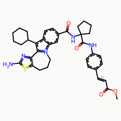 COC(=O)/C=C/c1ccc(NC(=O)C2(NC(=O)c3ccc4c(C5CCCCC5)c5n(c4c3)CCCc3sc(N)nc3-5)CCCC2)cc1